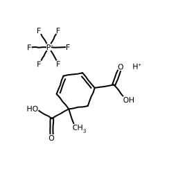 CC1(C(=O)O)C=CC=C(C(=O)O)C1.F[P-](F)(F)(F)(F)F.[H+]